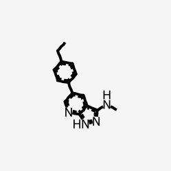 CCc1ccc(-c2cnc3[nH]nc(NC)c3c2)cc1